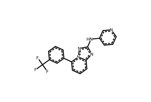 FC(F)(F)c1cccc(-c2cccc3nc(Nc4cccnc4)nn23)c1